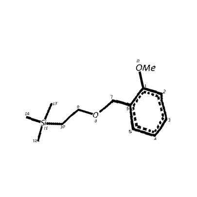 COc1ccccc1[CH]OCC[Si](C)(C)C